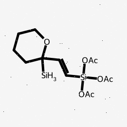 CC(=O)O[Si](C=CC1([SiH3])CCCCO1)(OC(C)=O)OC(C)=O